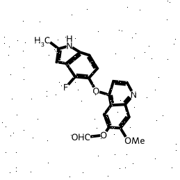 COc1cc2nccc(Oc3ccc4[nH]c(C)cc4c3F)c2cc1OC=O